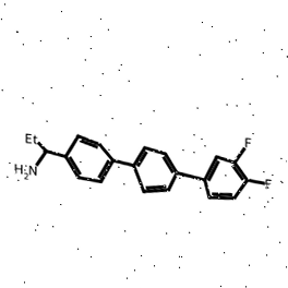 CCC(N)c1ccc(-c2ccc(-c3ccc(F)c(F)c3)cc2)cc1